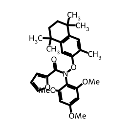 COc1cc(OC)c(N(Oc2cc3c(cc2C)C(C)(C)CCC3(C)C)C(=O)c2ccco2)c(OC)c1